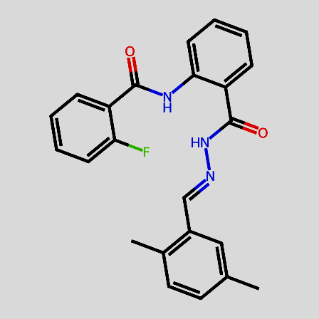 Cc1ccc(C)c(/C=N/NC(=O)c2ccccc2NC(=O)c2ccccc2F)c1